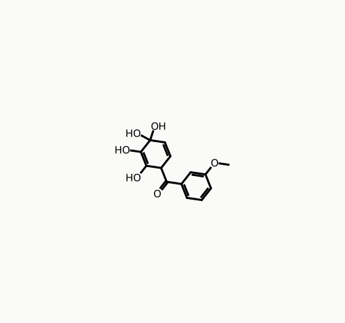 COc1cccc(C(=O)C2C=CC(O)(O)C(O)=C2O)c1